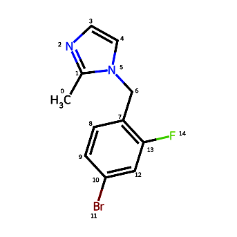 Cc1nccn1Cc1ccc(Br)cc1F